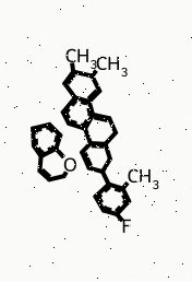 C1=Cc2ccccc2OC1.CC1=Cc2ccc3c(c2=CC1C)=CCC1=C3C=CC(c2ccc(F)cc2C)C1